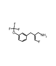 NCC(=CF)Cc1cccc(OC(F)(F)F)c1